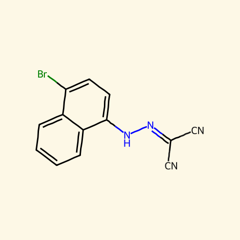 N#CC(C#N)=NNc1ccc(Br)c2ccccc12